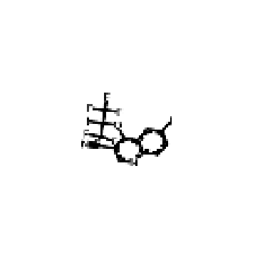 N#Cc1cnc2ccc(I)cc2c1OC(I)(C(F)(F)F)C(F)(F)F